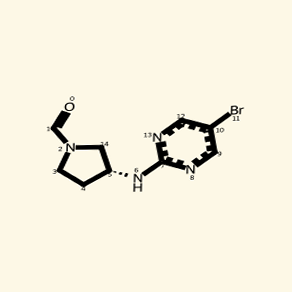 O=CN1CC[C@@H](Nc2ncc(Br)cn2)C1